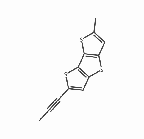 CC#Cc1cc2sc3cc(C)sc3c2s1